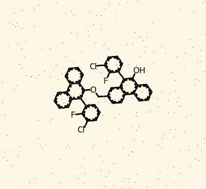 Oc1c(-c2cccc(Cl)c2F)c2cc(COc3c(-c4cccc(Cl)c4F)c4ccccc4c4ccccc34)ccc2c2ccccc12